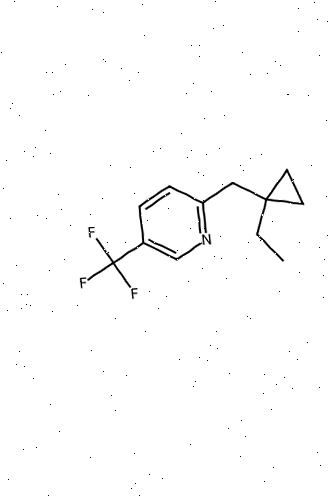 CCC1(Cc2ccc(C(F)(F)F)cn2)CC1